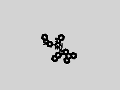 c1ccc2cc3c(cc2c1)c1c2c4ccccc4c4ccccc4c2ccc1n3-c1nc(-c2ccc3sc4ccccc4c3c2)c2sc3ccccc3c2n1